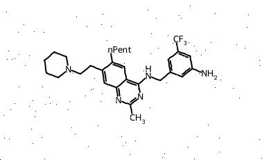 CCCCCc1cc2c(NCc3cc(N)cc(C(F)(F)F)c3)nc(C)nc2cc1CCN1CCCCC1